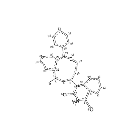 Cc1cc(-n2c(=O)[nH]c(=O)c3ccccc32)cccn(-c2ccccc2)c2ccccc12